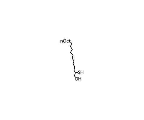 CCCCCCCCCCCCCCCCCCC(S)CO